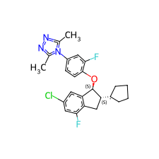 Cc1nnc(C)n1-c1ccc(O[C@@H]2c3cc(Cl)cc(F)c3C[C@H]2[C]2CCCC2)c(F)c1